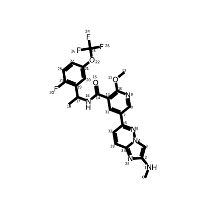 CNc1cn2nc(-c3cnc(OC)c(C(=O)NC(C)c4cc(OC(F)(F)F)ccc4F)c3)ccc2n1